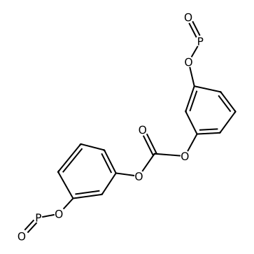 O=POc1cccc(OC(=O)Oc2cccc(OP=O)c2)c1